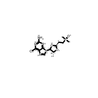 C[C@H]1O[C@H](CCP(C)(C)=O)OC1n1cnc2c(Cl)nc(N)nc21